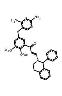 COc1cc(Cc2cnc(N)nc2N)cc(C(=O)/C=C/N2CCc3ccccc3C2c2ccccc2)c1OC